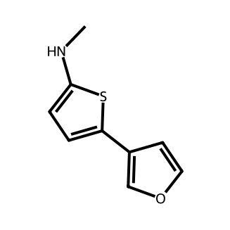 CNc1ccc(-c2ccoc2)s1